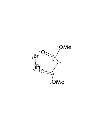 CC(C)Br.COC(=O)CC(=O)OC